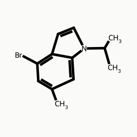 Cc1cc(Br)c2ccn(C(C)C)c2c1